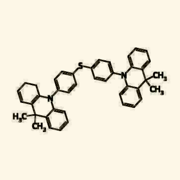 CC1(C)C2=C(CCC=C2)N(c2ccc(Sc3ccc(N4c5ccccc5C(C)(C)c5ccccc54)cc3)cc2)c2ccccc21